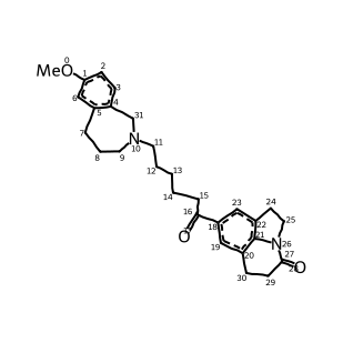 COc1ccc2c(c1)CCCN(CCCCCC(=O)c1cc3c4c(c1)CCN4C(=O)CC3)C2